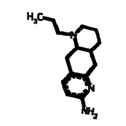 CCCN1CCCC2Cc3nc(N)ccc3CC21